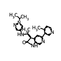 C/C(Nc1cnn(C(C)C)c1)=C1/C(=O)Nc2cnc(-c3cnccc3C)cc21